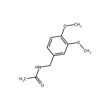 [CH2]C(=O)NCc1ccc(OC)c(OC)c1